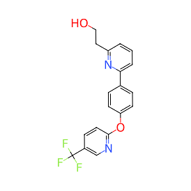 OCCc1cccc(-c2ccc(Oc3ccc(C(F)(F)F)cn3)cc2)n1